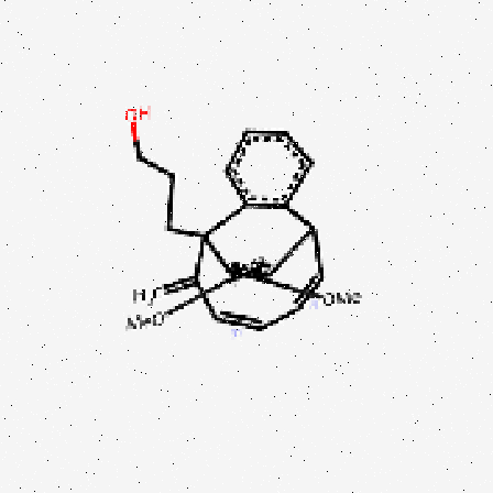 C=C1/C=C\C=C/C2c3ccccc3C1(CCCO)c1c(OC)ccc(OC)c12